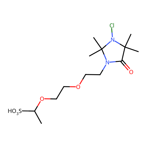 CC(OCCOCCN1C(=O)C(C)(C)N(Cl)C1(C)C)S(=O)(=O)O